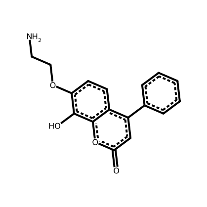 NCCOc1ccc2c(-c3ccccc3)cc(=O)oc2c1O